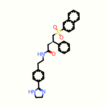 O=C(C[C@@H](CS(=O)(=O)c1ccc2ccccc2c1)c1ccccc1)NCCc1ccc(C2=NCCN2)cc1